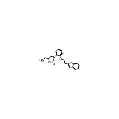 NC(CS)CNc1cccnc1OCCc1cc2ccccc2s1